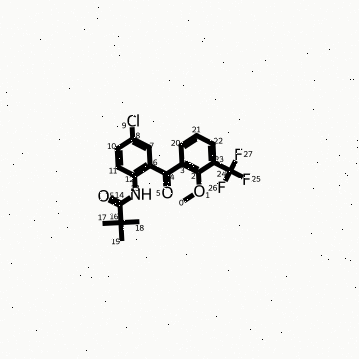 COc1c(C(=O)c2cc(Cl)ccc2NC(=O)C(C)(C)C)cccc1C(F)(F)F